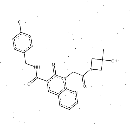 CC1(O)CN(C(=O)Cn2c(=O)c(C(=O)NCc3ccc(Cl)cc3)cc3cccnc32)C1